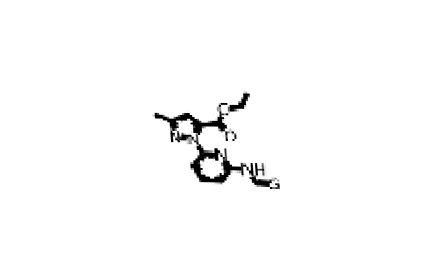 CCOC(=O)c1cc(C)nn1-c1cccc(NC=S)n1